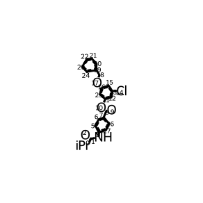 CC(C)C(=O)Nc1ccc(C(=O)Oc2cc(Cl)cc(OCc3ccccc3)c2)cc1